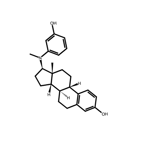 CN(c1cccc(O)c1)[C@@H]1CC[C@H]2[C@@H]3CCc4cc(O)ccc4[C@H]3CC[C@]21C